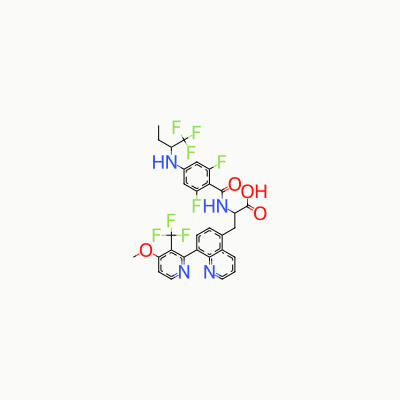 CCC(Nc1cc(F)c(C(=O)NC(Cc2ccc(-c3nccc(OC)c3C(F)(F)F)c3ncccc23)C(=O)O)c(F)c1)C(F)(F)F